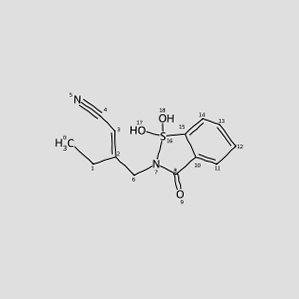 CCC(=CC#N)CN1C(=O)c2ccccc2S1(O)O